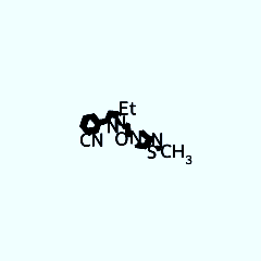 CCc1cc(-c2cccc(C#N)c2)nn1CC(=O)N1Cc2nc(C)sc2C1